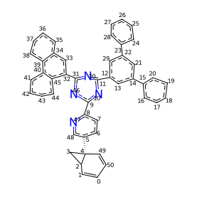 C1=CC2C[C@@]2(c2ccc(-c3nc(-c4cc(-c5ccccc5)cc(-c5ccccc5)c4)nc(-c4cc5ccccc5c5ccccc45)n3)nc2)C=C1